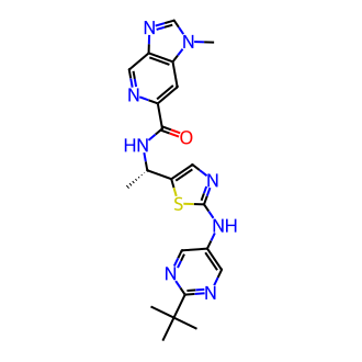 C[C@H](NC(=O)c1cc2c(cn1)ncn2C)c1cnc(Nc2cnc(C(C)(C)C)nc2)s1